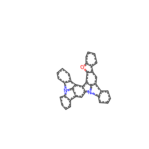 c1ccc2c(c1)oc1c2cc2c3ccccc3n3c4cc5c6ccccc6n6c7ccccc7c(c4c1c23)c56